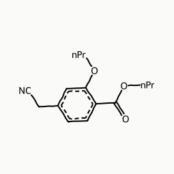 CCCOC(=O)c1ccc(CC#N)cc1OCCC